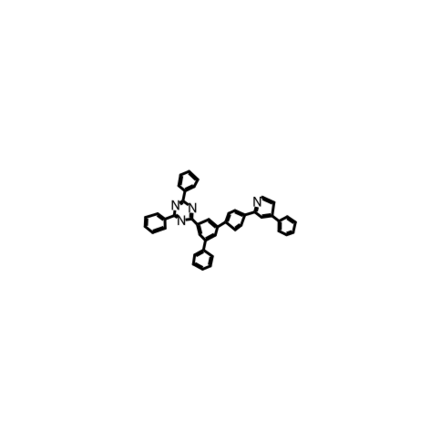 c1ccc(-c2cc(-c3ccc(-c4cc(-c5ccccc5)ccn4)cc3)cc(-c3nc(-c4ccccc4)nc(-c4ccccc4)n3)c2)cc1